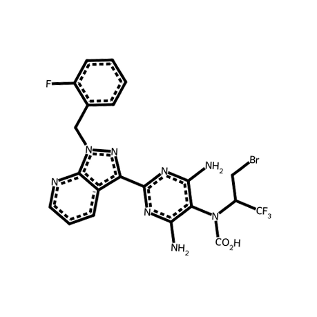 Nc1nc(-c2nn(Cc3ccccc3F)c3ncccc23)nc(N)c1N(C(=O)O)C(CBr)C(F)(F)F